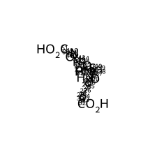 CN(CCN(Cc1cccc(C(=O)Nc2sc3c(c2C(=O)Nc2ccc(CCc4ccc(C(=O)O)cc4)cc2)CCCC3)c1)C1CCCC1)C(=O)CCC(=O)O